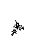 N#Cc1ccc(NS(=O)(=O)C2CC2)c(C(=O)NC23CCC(C#N)(CC2)CC3)c1